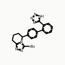 CCCCc1nnc2n1C(c1ccc(-c3ccccc3-c3nnn[nH]3)cc1)CCC2